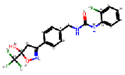 O=C(NCc1ccc(C2=NOC(O)(C(F)(F)F)C2)cc1)Nc1ccccc1F